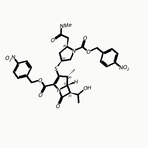 CNC(=O)C[C@@H]1C[C@H](SC2=C(C(=O)OCc3ccc([N+](=O)[O-])cc3)N3C(=O)[C@H](C(C)O)[C@H]3[C@H]2C)CN1C(=O)OCc1ccc([N+](=O)[O-])cc1